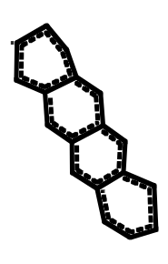 [c]1ccc2cc3cc4ccccc4cc3cc2c1